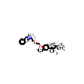 CC(C)(C)CC(C)(C)c1ccc(OCCOCC[N+](C)(C)Cc2ccccc2)cc1.[NaH]